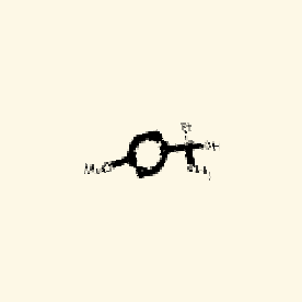 CC[C@@](C)(O)c1ccc(OC)cc1